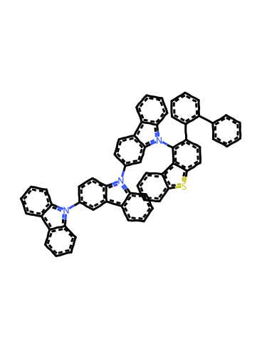 c1ccc(-c2ccccc2-c2ccc3sc4ccccc4c3c2-n2c3ccccc3c3ccc(-n4c5ccccc5c5cc(-n6c7ccccc7c7ccccc76)ccc54)cc32)cc1